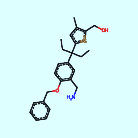 CCC(CC)(c1ccc(OCc2ccccc2)c(CN)c1)c1cc(C)c(CO)s1